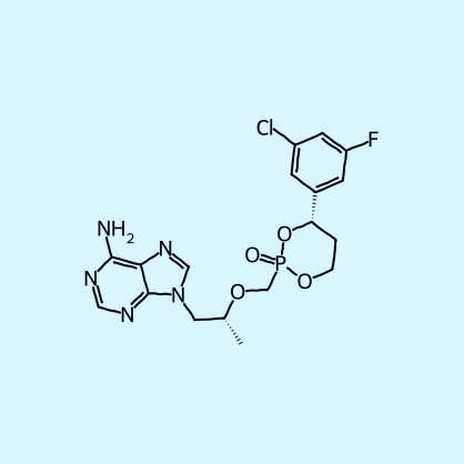 C[C@H](Cn1cnc2c(N)ncnc21)OCP1(=O)OCC[C@@H](c2cc(F)cc(Cl)c2)O1